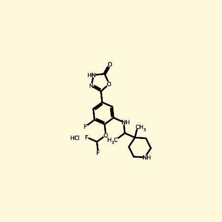 CC(Nc1cc(-c2n[nH]c(=O)o2)cc(F)c1OC(F)F)C1(C)CCNCC1.Cl